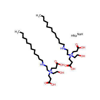 CCCCCCCCCCCCNCC[N+](CCO)(CCC(=O)O)CCC(=O)O.CCCCCCCCCCCCNCC[N+](CCO)(CCC(=O)O)CCC(=O)O.[NaH].[NaH]